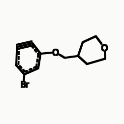 Brc1cc#cc(OCC2CCOCC2)c1